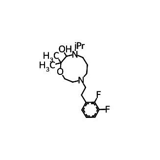 CC(C)N1CCCN(CCc2cccc(F)c2F)CCOC(C)(C)C1O